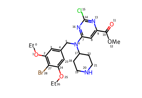 CCOc1cc(CN(c2cc(C(=O)OC)nc(Cl)n2)C2CCNCC2)cc(OCC)c1Br